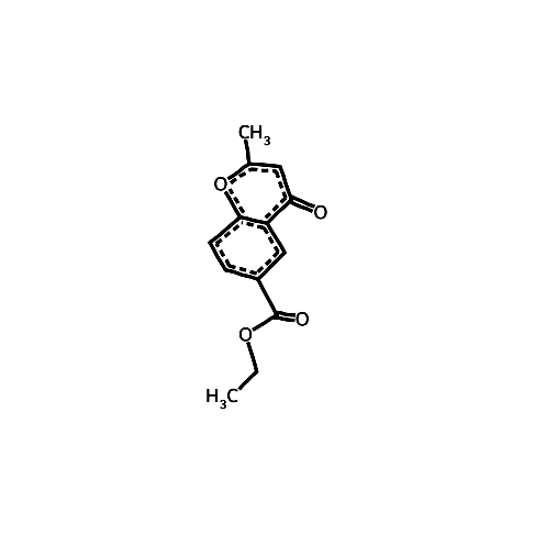 CCOC(=O)c1ccc2oc(C)cc(=O)c2c1